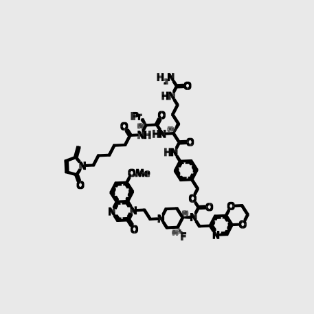 C=C1C=CC(=O)N1CCCCCC(=O)N[C@H](C(=O)N[C@@H](CCCNC(N)=O)C(=O)Nc1ccc(COC(=O)N(Cc2cc3c(cn2)OCCO3)[C@@H]2CCN(CCn3c(=O)cnc4ccc(OC)cc43)C[C@H]2F)cc1)C(C)C